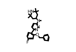 CN(c1ccc(-c2ccc(F)cc2OCc2ccccc2)nn1)C1CC(C)(C)NC(C)(C)C1